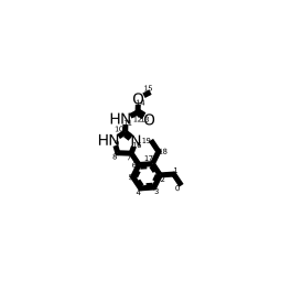 CCc1cccc(C2CNC(NC(=O)OC)=N2)c1CC